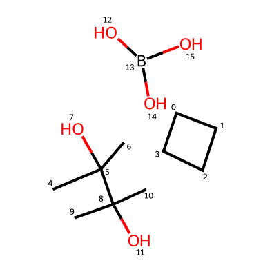 C1CCC1.CC(C)(O)C(C)(C)O.OB(O)O